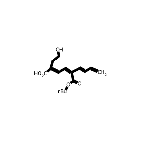 C=CC=CC(=CC=C(CCO)C(=O)O)C(=O)OCCCC